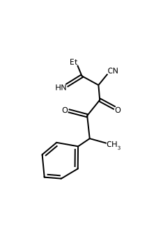 CCC(=N)C(C#N)C(=O)C(=O)C(C)c1ccccc1